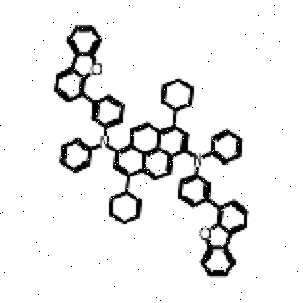 c1ccc(N(c2cccc(-c3cccc4c3oc3ccccc34)c2)c2cc(C3CCCCC3)c3ccc4c(N(c5ccccc5)c5cccc(-c6cccc7c6oc6ccccc67)c5)cc(C5CCCCC5)c5ccc2c3c54)cc1